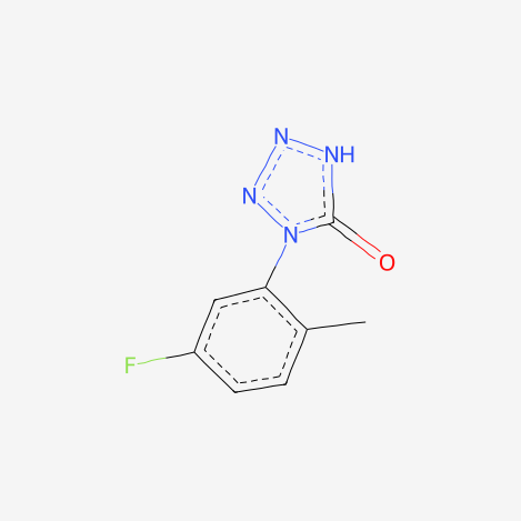 Cc1ccc(F)cc1-n1nn[nH]c1=O